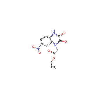 CCOC(=O)Cn1c(=O)c(=O)[nH]c2ccc([N+](=O)[O-])cc21